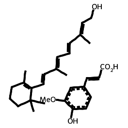 CC1=C(/C=C/C(C)=C/C=C/C(C)=C/CO)C(C)(C)CCC1.COc1cc(/C=C/C(=O)O)ccc1O